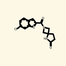 O=C1CCC2(CN(C(=O)c3cc4ccc(Cl)cc4s3)C2)N1